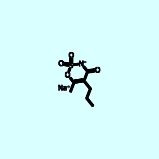 CCCC1=C(C)OS(=O)(=O)[N-]C1=O.[Na+]